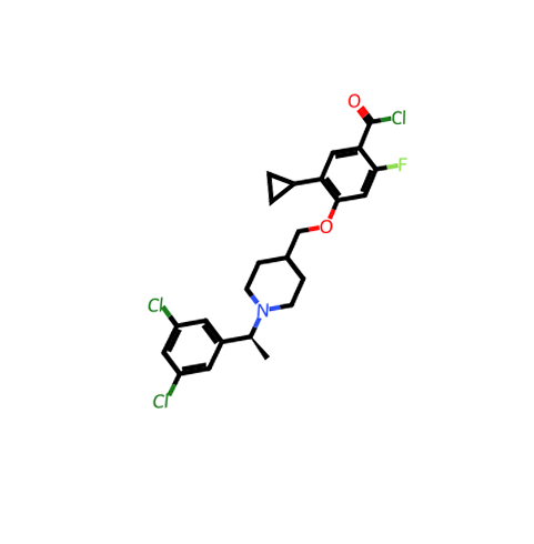 C[C@@H](c1cc(Cl)cc(Cl)c1)N1CCC(COc2cc(F)c(C(=O)Cl)cc2C2CC2)CC1